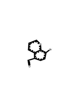 O=Cc1ccc(Br)c2ncccc12